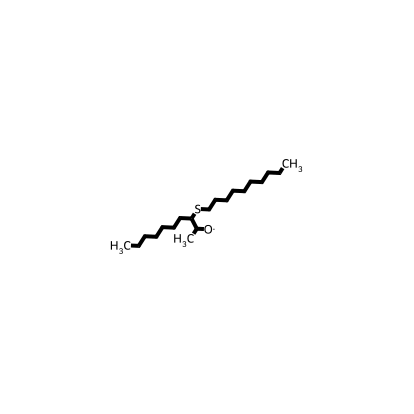 CCCCCCCCCCSC(CCCCCCC)C(C)[O]